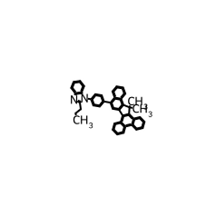 CCCc1nc2ccccc2n1-c1ccc(-c2cc3c(c4ccccc24)C(C)(C)c2c-3c3ccccc3c3ccccc23)cc1